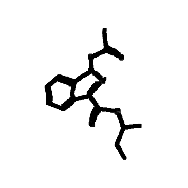 CCC(C)OC(=O)c1nn(OC(C)=O)c2ccccc12